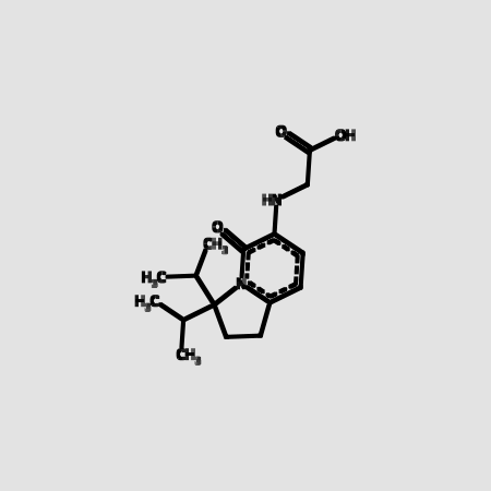 CC(C)C1(C(C)C)CCc2ccc(NCC(=O)O)c(=O)n21